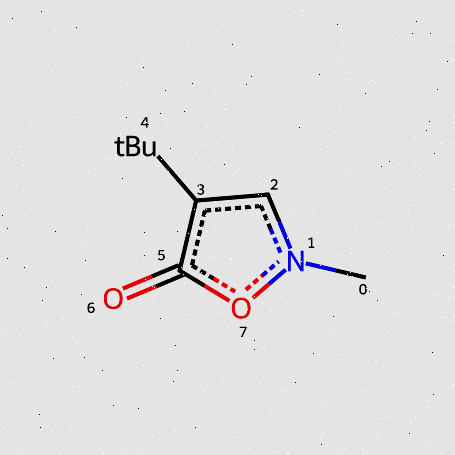 Cn1cc(C(C)(C)C)c(=O)o1